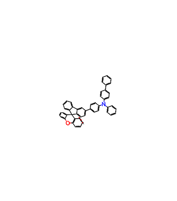 c1ccc(-c2ccc(N(c3ccccc3)c3ccc(-c4ccc5c(c4)-c4ccccc4C54c5ccccc5Oc5ccc6ccccc6c54)cc3)cc2)cc1